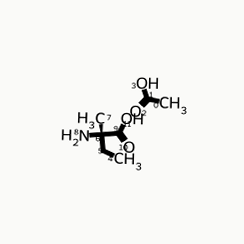 CC(=O)O.CC[C@](C)(N)C(=O)O